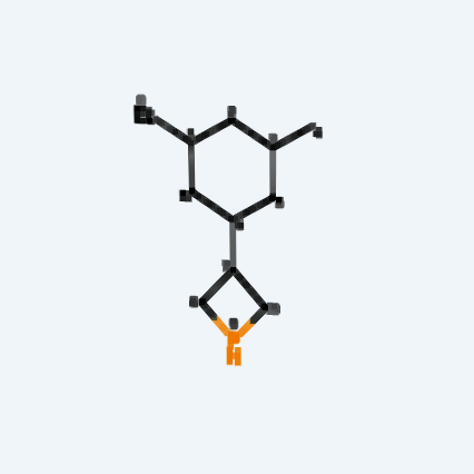 CCC1CC(C)CC(C2CPC2)C1